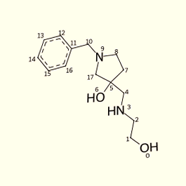 OCCNCC1(O)CCN(Cc2ccccc2)C1